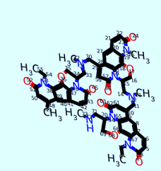 CCn1c(=O)ccc2cc3c(CN(C)CC4COc5c6c(ccc(=O)n6C)cc6c(CN(C)CC7COc8c9c(cc%10ccc(=O)n7c8%10)c(C)cc(=O)n9CC)cc(=O)n4c56)cc(=O)n4c3c(c21)OCC4CNC